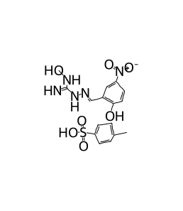 Cc1ccc(S(=O)(=O)O)cc1.N=C(NO)NN=Cc1cc([N+](=O)[O-])ccc1O